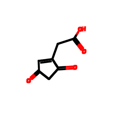 O=C(O)CC1=CC(=O)CC1=O